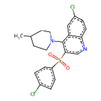 CC1CCN(c2c(S(=O)(=O)c3ccc(Cl)cc3)cnc3ccc(Cl)cc23)CC1